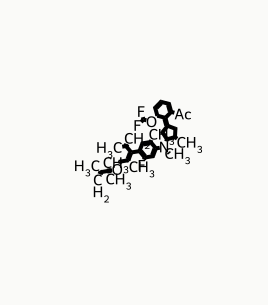 C=C(C)/C(=C(/C)COC(C)(C)C(=C)C)c1cc(C)c(N(C)C2C/C(=C3/C(C(C)=O)=CC=CC3OC(F)F)CC2C)cc1F